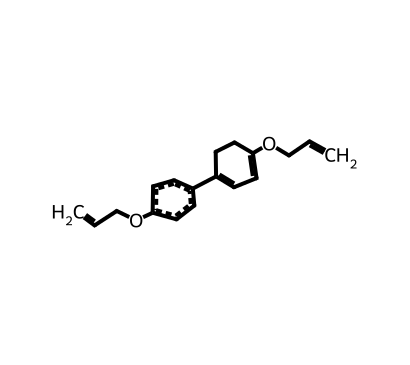 C=CCOC1=CC=C(c2ccc(OCC=C)cc2)CC1